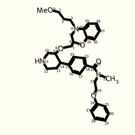 COCCCN1CC(COC2CNCCC2c2ccc(C(=O)N(C)CCOc3ccccc3)cc2)Oc2ccccc21